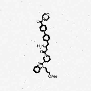 COCCCn1c([C@@H]2CCCN(C(=O)C[C@H](N)Cc3ccc(-c4ccc(C(=O)N5CCOCC5)cc4)cc3)C2)nc2ccccc21